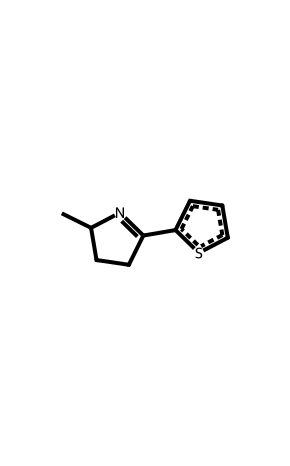 CC1CCC(c2cccs2)=N1